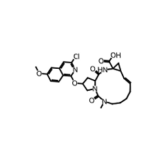 COc1ccc2c(OC3CC4C(=O)NC5(C(=O)O)CC5/C=C/CCCCN(C)C(=O)N4C3)nc(Cl)cc2c1